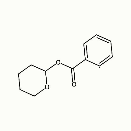 O=C(OC1CCCCO1)c1[c]cccc1